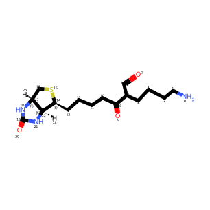 NCCCCC([C]=O)C(=O)CCCC[C@@H]1SC[C@@H]2NC(=O)N[C@@H]21